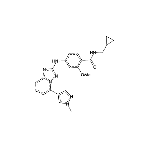 COc1cc(Nc2nc3cncc(-c4cnn(C)c4)n3n2)ccc1C(=O)NCC1CC1